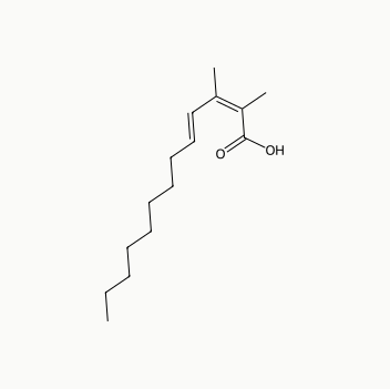 CCCCCCCCC=CC(C)=C(C)C(=O)O